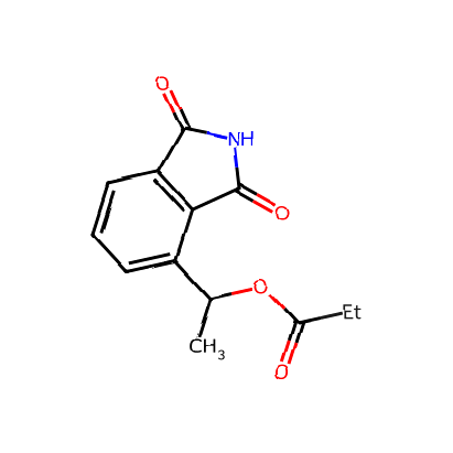 CCC(=O)OC(C)c1cccc2c1C(=O)NC2=O